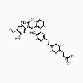 COc1cc2c(cc1OC)C(=C(Nc1ccc(CCN3CCC(CCC(=O)O)CC3)cc1)c1ccccc1)C(=O)N2